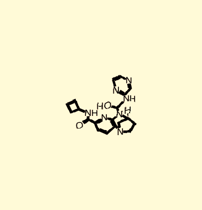 O=C(NC1CCC1)c1ccc2c(n1)N(C(O)Nc1cnccn1)[C@H]1CCN2C1